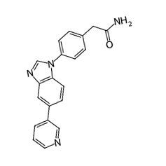 NC(=O)Cc1ccc(-n2cnc3cc(-c4cccnc4)ccc32)cc1